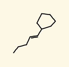 CCCC=CC1CCCCC1